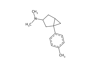 Cc1ccc(C23CC(N(C)C)CC2C3)cc1